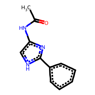 CC(=O)Nc1c[nH]c(-c2ccccc2)n1